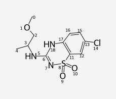 COCC(C)NC1=NS(=O)(=O)c2cc(Cl)ccc2N1